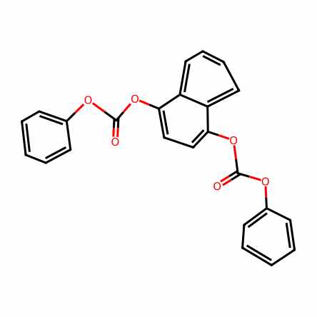 O=C(Oc1ccccc1)Oc1ccc(OC(=O)Oc2ccccc2)c2ccccc12